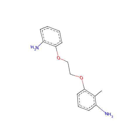 Cc1c(N)cccc1OCCOc1ccccc1N